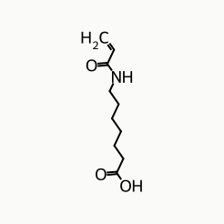 C=CC(=O)NCCCCCCC(=O)O